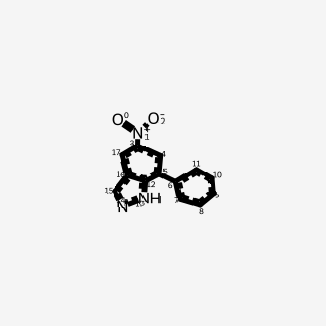 O=[N+]([O-])c1cc(-c2ccccc2)c2[nH]ncc2c1